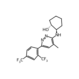 Cc1cc(-c2ccc(C(F)(F)F)cc2C(F)(F)F)nnc1N[C@@H]1CCCC[C@H]1O